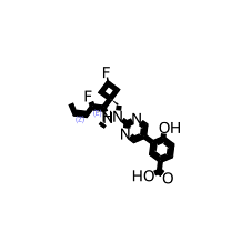 C=N/C(=C(F)\C=C/C)[C@]1(CNc2ncc(-c3cc(C(=O)O)ccc3O)cn2)C[C@@H](F)C1